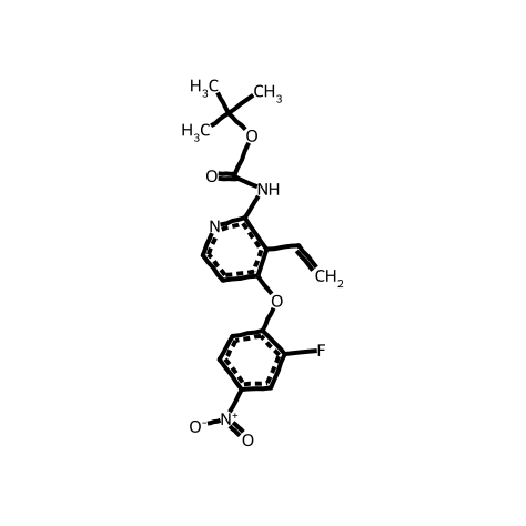 C=Cc1c(Oc2ccc([N+](=O)[O-])cc2F)ccnc1NC(=O)OC(C)(C)C